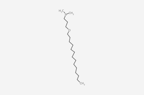 CCCCCCCCCCCCCCOCCCN(C)C